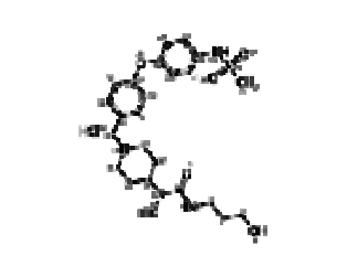 CCCCN(C(=O)NCCCO)C1CCN(Cc2ccc(Oc3ccc(NS(C)(=O)=O)cc3)cc2)CC1.Cl